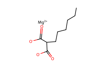 CCCCCCC(C(=O)[O-])C(=O)[O-].[Mg+2]